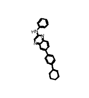 c1ccc(Nc2cnc3cc(-c4ccc(C5CCCCC5)cc4)ccc3n2)cc1